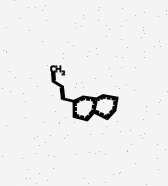 C=CC=Cc1ccc2ccccc2c1